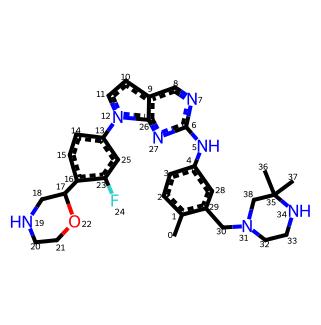 Cc1ccc(Nc2ncc3ccn(-c4ccc(C5CNCCO5)c(F)c4)c3n2)cc1CN1CCNC(C)(C)C1